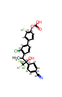 CC(c1ccc(-c2ccc(OC(=O)O)c(F)c2)cc1Cl)C(O)(c1ccc(C#N)cc1)C(F)(F)F